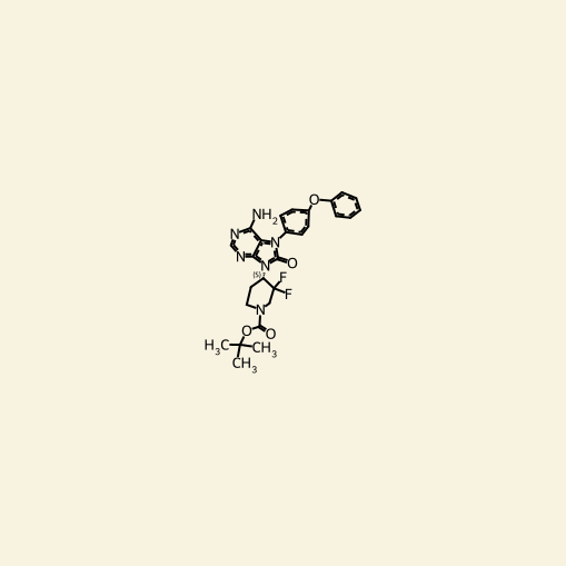 CC(C)(C)OC(=O)N1CC[C@H](n2c(=O)n(-c3ccc(Oc4ccccc4)cc3)c3c(N)ncnc32)C(F)(F)C1